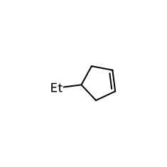 [CH2]CC1CC=CC1